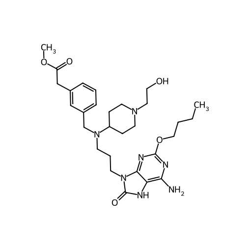 CCCCOc1nc(N)c2[nH]c(=O)n(CCCN(Cc3cccc(CC(=O)OC)c3)C3CCN(CCO)CC3)c2n1